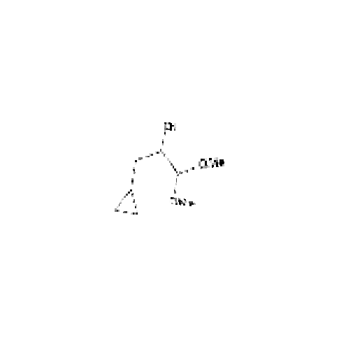 COC(OC)C(C#N)CC1CC1